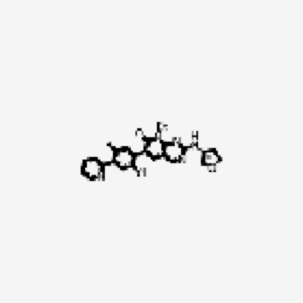 CCn1c(=O)c(-c2cc(C)c(-c3ccccn3)cc2Cl)cc2cnc(N[C@@H]3CCOC3)nc21